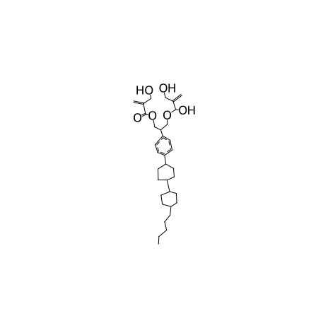 C=C(CO)C(=O)OCC(COC(O)C(=C)CO)c1ccc(C2CCC(C3CCC(CCCCC)CC3)CC2)cc1